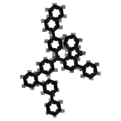 c1ccc(-c2cccc(-c3ccccc3-c3ccc(N(c4ccc(-c5ccc6ccccc6c5)cc4)c4ccc(-c5ccccc5)c5oc6ccccc6c45)cc3)c2)cc1